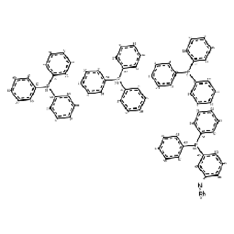 [Ni].[Rh].c1ccc(P(c2ccccc2)c2ccccc2)cc1.c1ccc(P(c2ccccc2)c2ccccc2)cc1.c1ccc(P(c2ccccc2)c2ccccc2)cc1.c1ccc(P(c2ccccc2)c2ccccc2)cc1